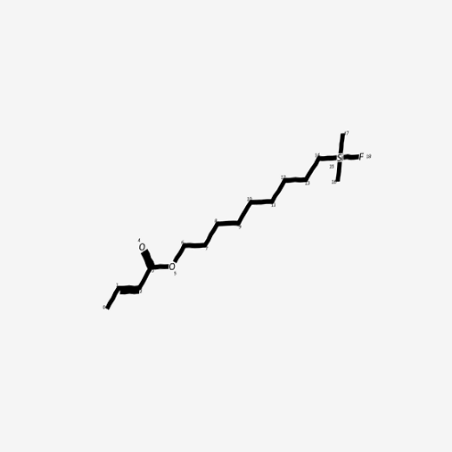 CC=CC(=O)OCCCCCCCCC[Si](C)(C)F